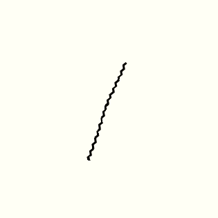 C=CCCCCCCCCCCCCCCCC=CCCCCCCCCCCCCCC